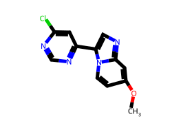 COc1ccn2c(-c3cc(Cl)ncn3)cnc2c1